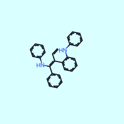 C=CC(=C(Nc1ccccc1)c1ccccc1)c1ccccc1Nc1ccccc1